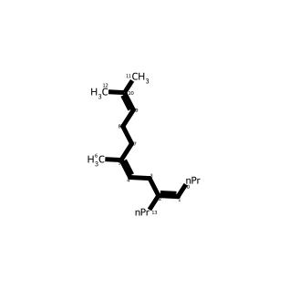 CCCC=C(CC=C(C)CCC=C(C)C)CCC